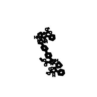 CCOC(=O)c1nc([C@@H]2CCCN2C(=O)[C@H](NC(=O)OC)c2ccccc2)[nH]c1-c1ccc(-c2ccc(-c3cnc([C@]4(C(=O)[C@H](NC(=O)OC)c5ccccc5)CCCN4)[nH]3)cc2)cc1